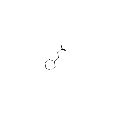 C[C@@H](CC(N)=O)C1CCCCC1